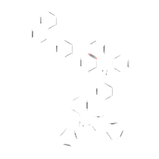 c1ccc(-c2ccccc2N(c2ccc(-c3ccc(-c4cccc5ccccc45)cc3)cc2)c2cccc(-c3cccc4c3c3cc5ccccc5cc3n4-c3ccccc3)c2)cc1